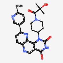 CC(=O)Nc1ccc(-c2ccc3ncc4c(=O)[nH]c(=O)n(C5CCN(C(=O)C(C)(C)O)CC5)c4c3n2)cn1